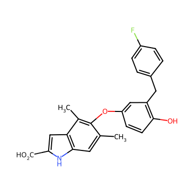 Cc1cc2[nH]c(C(=O)O)cc2c(C)c1Oc1ccc(O)c(Cc2ccc(F)cc2)c1